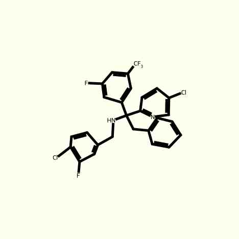 Fc1cc(C(F)(F)F)cc(C(Cc2ccccc2)(NCc2ccc(Cl)c(F)c2)c2ccc(Cl)cn2)c1